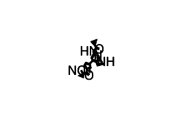 N#CC1(C(=O)N2CC=C(c3cc(NC(=O)C4CC4)nc4[nH]ccc34)C2)CC1